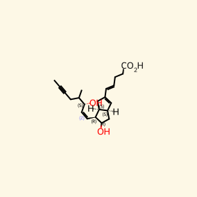 CC#CCC(C)[C@H](O)/C=C\[C@H]1[C@H]2CC(C=CCCC(=O)O)=C[C@H]2C[C@H]1O